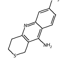 Cc1ccc2c(N)c3c(nc2c1)CCSC3